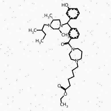 CCOC(=O)CCCCCN1CCCN(C(=O)c2cccc(C(c3cccc(O)c3)N3C[C@@H](C)N(CC(C)CC)C[C@@H]3C)c2)CC1